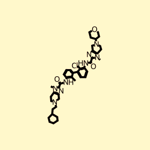 Cc1c(NC(=O)c2nc3c(n2C)CCN(CCC2CCCCC2)C3)cccc1-c1cccc(NC(=O)c2nc3c(n2C)CCN(C2CCOCC2)C3)c1Cl